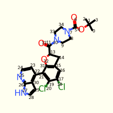 CC(C)(C)OC(=O)N1CCN(C(=O)C2Cc3cc(Cl)c(Cl)c(-c4ccnc5[nH]ccc45)c3O2)CC1